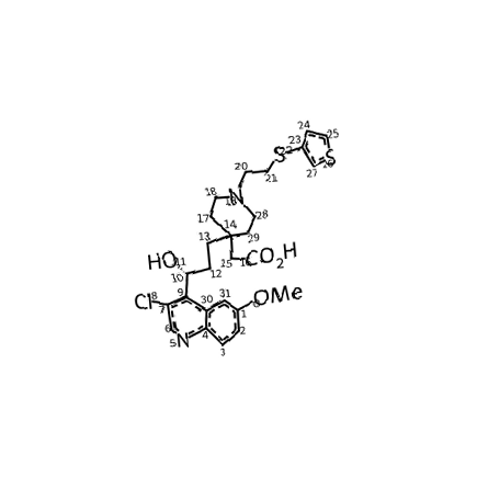 COc1ccc2ncc(Cl)c([C@H](O)CCC3(CC(=O)O)CCN(CCSc4ccsc4)CC3)c2c1